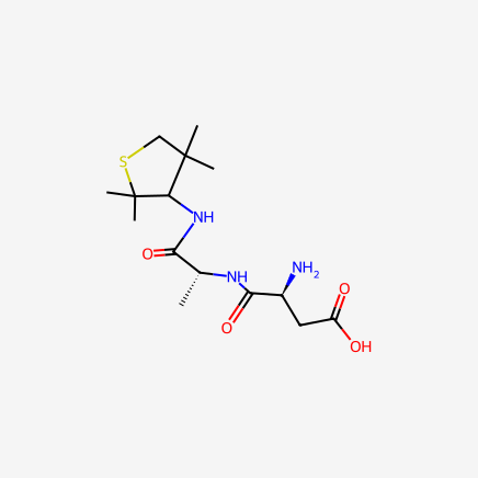 C[C@@H](NC(=O)[C@@H](N)CC(=O)O)C(=O)NC1C(C)(C)CSC1(C)C